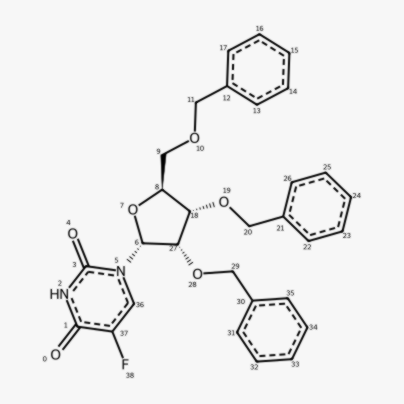 O=c1[nH]c(=O)n([C@@H]2O[C@@H](COCc3ccccc3)[C@H](OCc3ccccc3)[C@@H]2OCc2ccccc2)cc1F